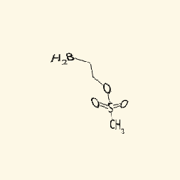 BCCOS(C)(=O)=O